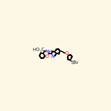 CC(C)(C)c1ccc(OCCc2ccc3cc(C(=O)N[C@H](C(=O)O)c4ccccc4)ncc3c2)cc1